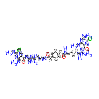 N/C(=N\C(=O)c1nc(Cl)c(N)nc1N)NCCCCNC(=O)Cc1ccc(CC(=O)NCCCCN/C(N)=N/C(=O)c2nc(Cl)c(N)nc2N)cc1